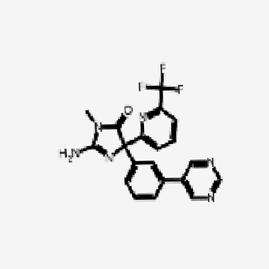 CN1C(=O)C(c2cccc(-c3cncnc3)c2)(c2cccc(C(F)(F)F)n2)N=C1N